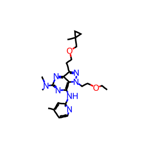 CCOCCn1nc(CCOCC2(C)CC2)c2nc(N(C)C)nc(Nc3cc(C)ccn3)c21